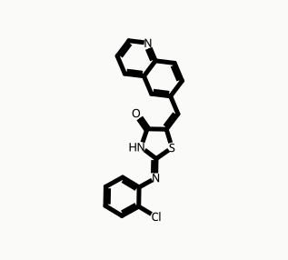 O=C1NC(=Nc2ccccc2Cl)SC1=Cc1ccc2ncccc2c1